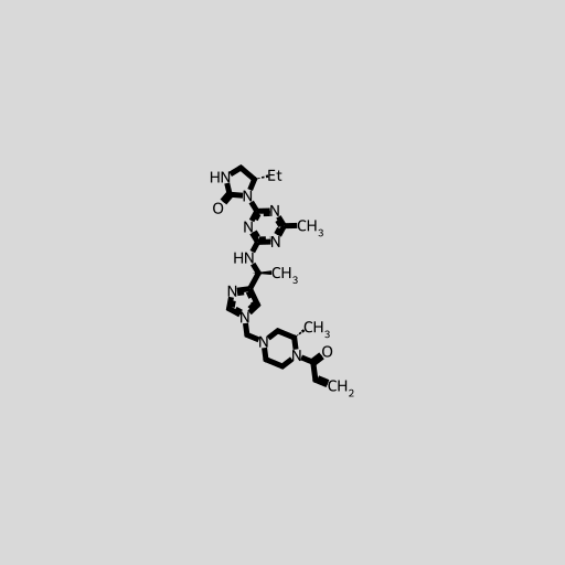 C=CC(=O)N1CCN(Cn2cnc([C@H](C)Nc3nc(C)nc(N4C(=O)NC[C@@H]4CC)n3)c2)C[C@@H]1C